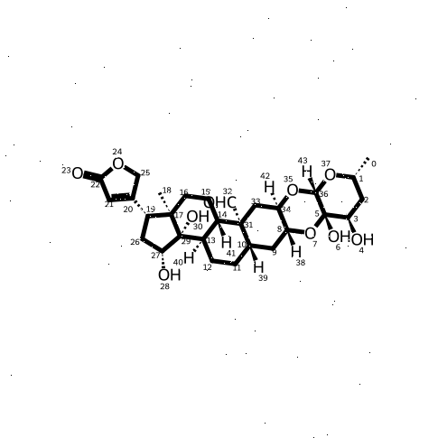 C[C@@H]1C[C@@H](O)[C@]2(O)O[C@@H]3C[C@@H]4CC[C@@H]5[C@H](CC[C@]6(C)[C@@H](C7=CC(=O)OC7)C[C@@H](O)[C@]56O)[C@@]4(C=O)C[C@H]3O[C@@H]2O1